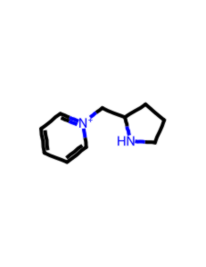 c1cc[n+](CC2CCCN2)cc1